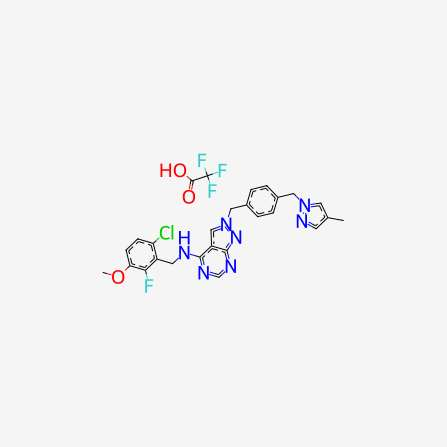 COc1ccc(Cl)c(CNc2ncnc3nn(Cc4ccc(Cn5cc(C)cn5)cc4)cc23)c1F.O=C(O)C(F)(F)F